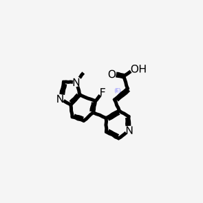 Cn1cnc2ccc(-c3ccncc3/C=C/C(=O)O)c(F)c21